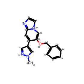 Cn1cc(-c2cc3nccn3cc2OCc2ccccc2)cn1